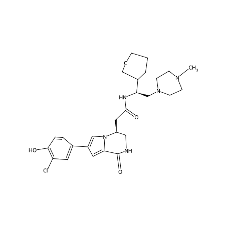 CN1CCN(C[C@@H](NC(=O)C[C@H]2CNC(=O)c3cc(-c4ccc(O)c(Cl)c4)cn32)C2CCCCC2)CC1